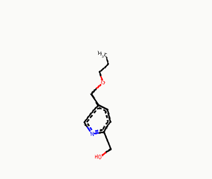 CCCOCc1ccc(CO)nc1